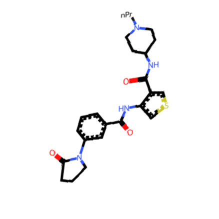 CCCN1CCC(NC(=O)c2cscc2NC(=O)c2cccc(N3CCCC3=O)c2)CC1